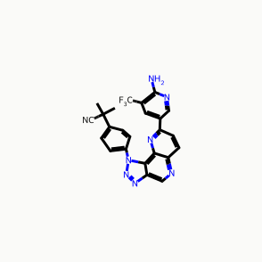 CC(C)(C#N)c1ccc(-n2nnc3cnc4ccc(-c5cnc(N)c(C(F)(F)F)c5)nc4c32)cc1